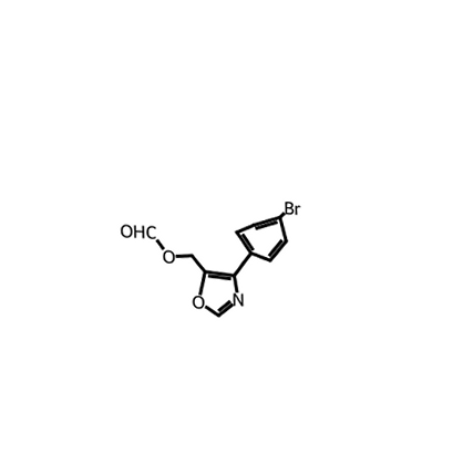 O=COCc1ocnc1-c1ccc(Br)cc1